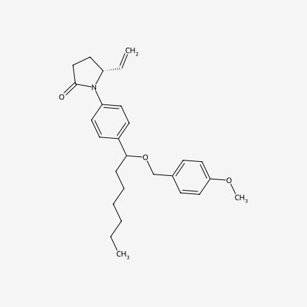 C=C[C@H]1CCC(=O)N1c1ccc(C(CCCCCC)OCc2ccc(OC)cc2)cc1